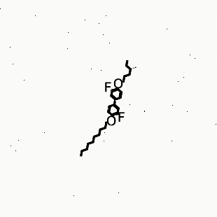 CCCCCCCCCCOc1ccc(-c2ccc(OCCC[C@@H](C)CC)c(F)c2)cc1F